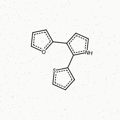 c1coc(-c2cc[nH]c2-c2cccs2)c1